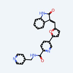 O=C1Nc2ccccc2/C1=C\c1ccc(-c2ccc(C(=O)NCc3ccncc3)nc2)o1